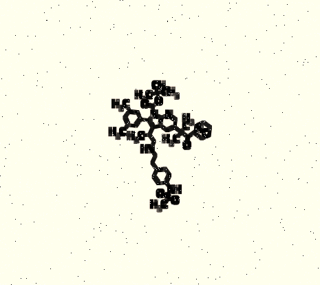 Cc1cc(C)cc(-c2c(C(C)CNCCc3ccc(NS(C)(=O)=O)cc3)c3cc(C(C)(C)C(=O)N4CC5CCC4CC5)cnc3n2C(=O)OC(C)(C)C)c1